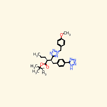 CCC[C@H](C(=O)OC(C)(C)C)[C@H](Cc1ccc(-c2nnn[nH]2)cc1)c1nnn(Cc2ccc(OC)cc2)n1